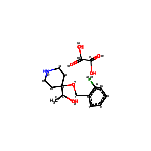 CC(O)C1(OCc2ccccc2F)CCNCC1.O=C(O)C(=O)O